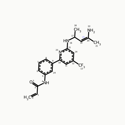 C=CC(=O)Nc1cccc(-c2cc(C(F)(F)F)cc(NC(C)/C=C(/C)N)n2)c1